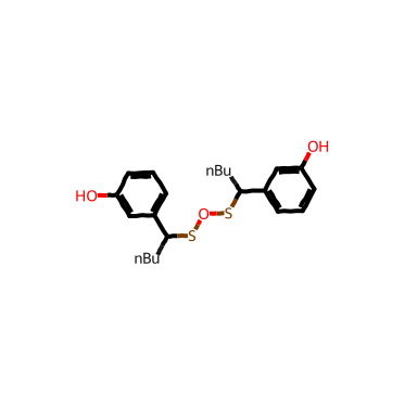 CCCCC(SOSC(CCCC)c1cccc(O)c1)c1cccc(O)c1